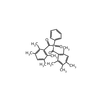 Cc1cc(C)c(C(=O)P(=O)(C(=O)c2c(C)c(C)cc(C)c2C)c2ccccc2)c(C)c1C